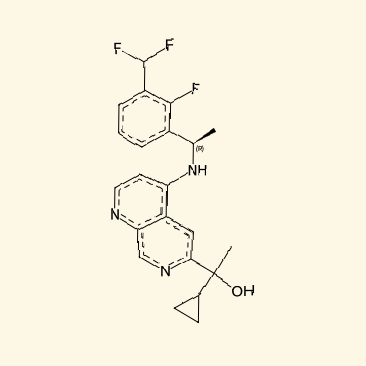 C[C@@H](Nc1ccnc2cnc(C(C)(O)C3CC3)cc12)c1cccc(C(F)F)c1F